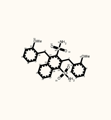 COc1ccccc1Cc1c(S(N)(=O)=O)c(Cc2ccccc2OC)c2ccccc2c1S(N)(=O)=O